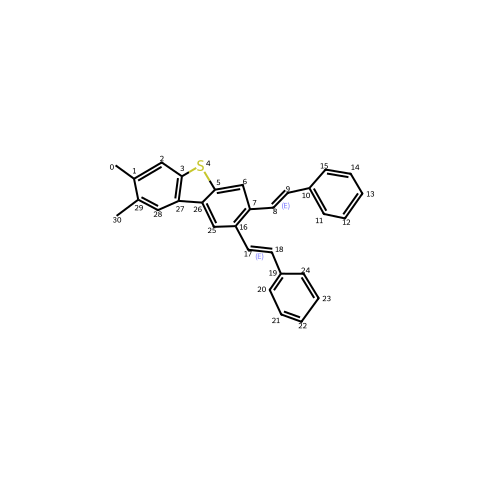 Cc1cc2sc3cc(/C=C/c4ccccc4)c(/C=C/c4ccccc4)cc3c2cc1C